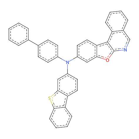 c1ccc(-c2ccc(N(c3ccc4c(c3)oc3ncc5ccccc5c34)c3ccc4c(c3)sc3ccccc34)cc2)cc1